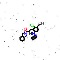 C#Cc1cccc(CC(N)C(=O)N2Cc3ccccc3C2)c1Cl.c1cc2ccc1-2